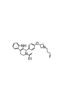 C=C(CC)N1CCc2c([nH]c3ccccc23)[C@H]1c1ccc(OC2CN(CCCF)C2)cc1